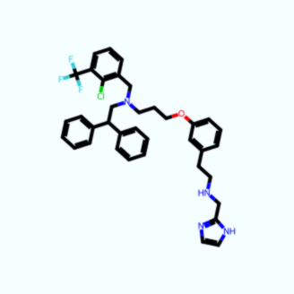 FC(F)(F)c1cccc(CN(CCCOc2cccc(CCNCc3ncc[nH]3)c2)CC(c2ccccc2)c2ccccc2)c1Cl